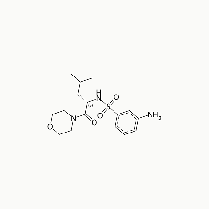 CC(C)C[C@H](NS(=O)(=O)c1cccc(N)c1)C(=O)N1CCOCC1